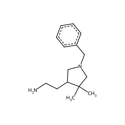 CC1(C)CN(Cc2ccccc2)CC1CCN